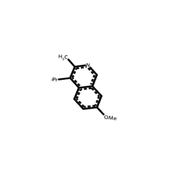 COc1ccc2c(C(C)C)c(C)ncc2c1